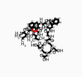 CCC(C)C(NC(=O)C(CO)NC(=O)C(Cc1ccccc1)NC(=O)C(C)NC(=O)C(Cc1c[nH]c2ccccc12)NC(=O)CNC(=O)CN1CCN(CC(=O)O)CCN(CC(=O)O)CCN(CC(=O)O)CC1)C(=O)N1CCCC1C(=O)NC(CC(C)C)C(N)=O